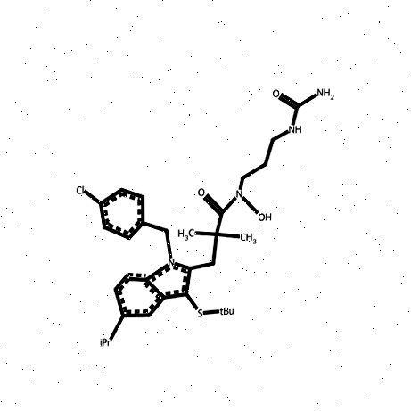 CC(C)c1ccc2c(c1)c(SC(C)(C)C)c(CC(C)(C)C(=O)N(O)CCCNC(N)=O)n2Cc1ccc(Cl)cc1